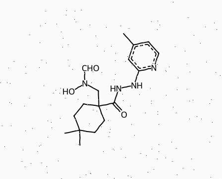 Cc1ccnc(NNC(=O)C2(CN(O)C=O)CCC(C)(C)CC2)c1